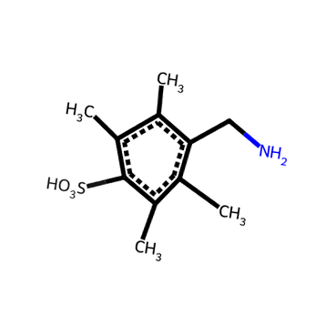 Cc1c(C)c(S(=O)(=O)O)c(C)c(C)c1CN